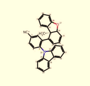 C[C@@]12C(c3cc(C#N)ccc3-n3c4ccccc4c4ccccc43)=CC=CC1Oc1ccccc12